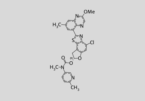 COc1cnc2c(-c3nc4c(Cl)cc5c(c4s3)C[C@@H](OC(=O)N(C)c3ccc(C)nc3)O5)cc(C)cc2n1